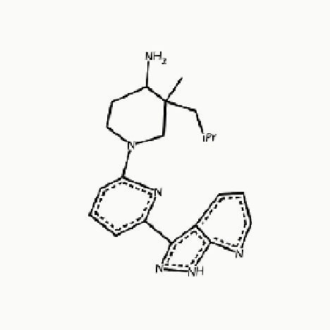 CC(C)CC1(C)CN(c2cccc(-c3n[nH]c4ncccc34)n2)CCC1N